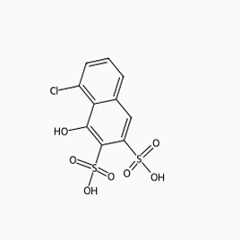 O=S(=O)(O)c1cc2cccc(Cl)c2c(O)c1S(=O)(=O)O